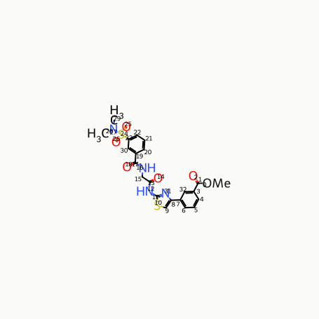 COC(=O)c1cccc(-c2csc(NC(=O)CNC(=O)c3cccc(S(=O)(=O)N(C)C)c3)n2)c1